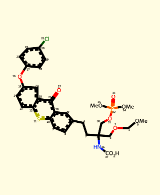 COCOCC(CCc1ccc2sc3ccc(Oc4ccc(Cl)cc4)cc3c(=O)c2c1)(COP(=O)(OC)OC)NC(=O)O